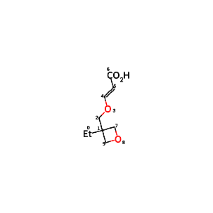 CCC1(COC=CC(=O)O)COC1